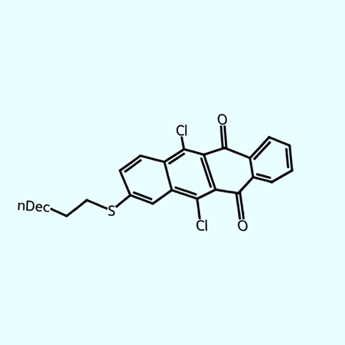 CCCCCCCCCCCCSc1ccc2c(Cl)c3c(c(Cl)c2c1)C(=O)c1ccccc1C3=O